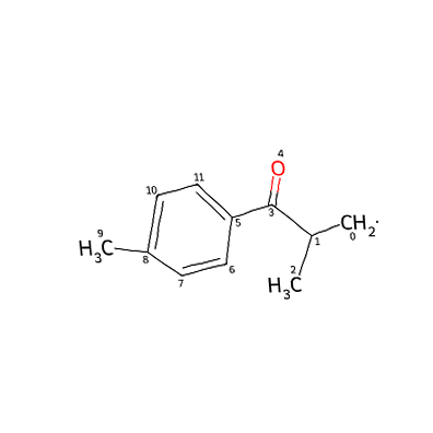 [CH2]C(C)C(=O)c1ccc(C)cc1